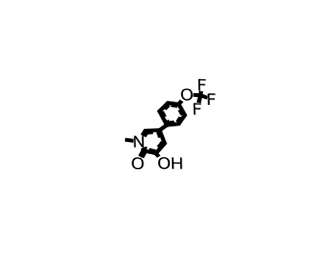 Cn1cc(-c2ccc(OC(F)(F)F)cc2)cc(O)c1=O